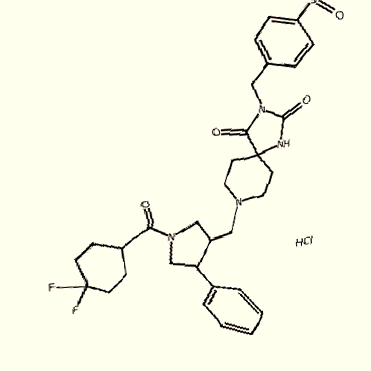 CS(=O)(=O)c1ccc(CN2C(=O)NC3(CCN(CC4CN(C(=O)C5CCC(F)(F)CC5)CC4c4ccccc4)CC3)C2=O)cc1.Cl